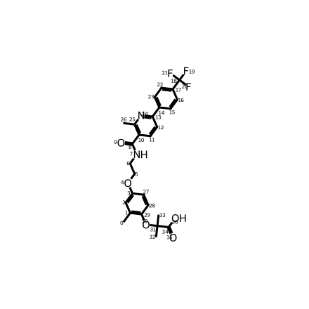 Cc1cc(OCCNC(=O)c2ccc(-c3ccc(C(F)(F)F)cc3)nc2C)ccc1OC(C)(C)C(=O)O